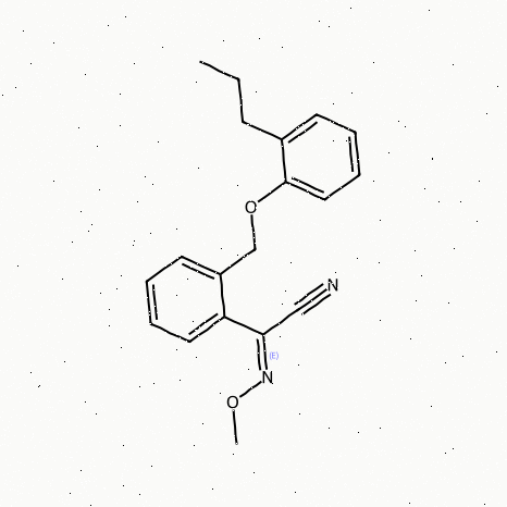 CCCc1ccccc1OCc1ccccc1/C(C#N)=N\OC